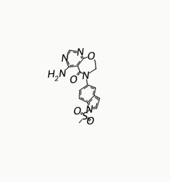 CS(=O)(=O)n1ccc2cc(N3CCOc4ncnc(N)c4C3=O)ccc21